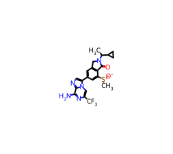 CC(C1CC1)N1Cc2cc(-c3cnc4c(N)nc(C(F)(F)F)cn34)cc([S+](C)[O-])c2C1=O